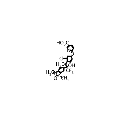 C[C@@H](c1ccc(Oc2ccc(C(=O)O)cn2)cc1Cl)[C@](O)(c1ccc2c(c1)n(C)c(=O)n2C)C(F)(F)F